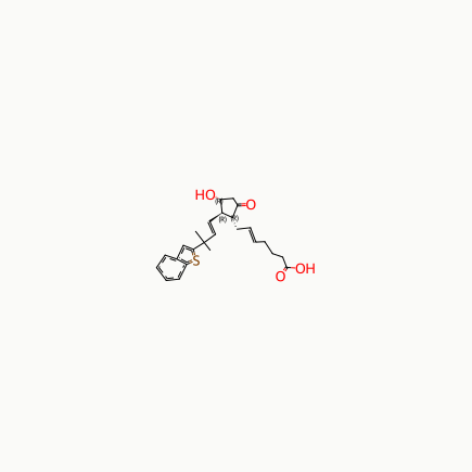 CC(C)(C=C[C@H]1[C@H](O)CC(=O)[C@@H]1CC=CCCCC(=O)O)c1cc2ccccc2s1